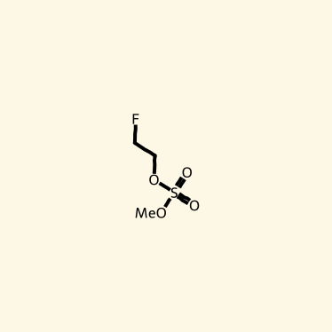 COS(=O)(=O)OCCF